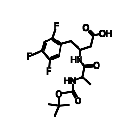 CC(NC(=O)OC(C)(C)C)C(=O)NC(CC(=O)O)Cc1cc(F)c(F)cc1F